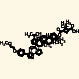 C=C(C)[C@@H]1CC[C@]2(C(=O)N3CCC[C@H]3c3ncc(-c4ccc(OCCOC)cc4)[nH]3)CC[C@]3(C)[C@H](CC[C@@H]4[C@@]5(C)CC[C@H](OC(=O)C6CC(C(=O)O)C6(C)C)C(C)(C)[C@@H]5CC[C@]43C)[C@@H]12